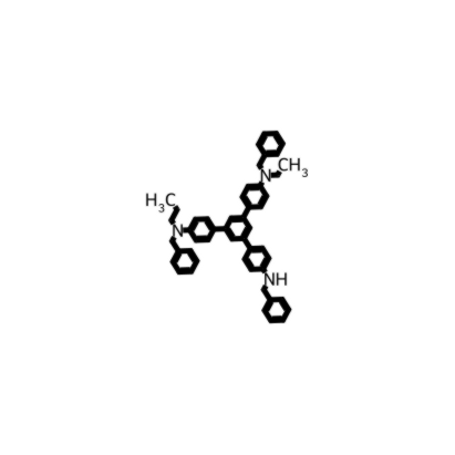 CCCN(Cc1ccccc1)c1ccc(-c2cc(-c3ccc(NCc4ccccc4)cc3)cc(-c3ccc(N(CC)Cc4ccccc4)cc3)c2)cc1